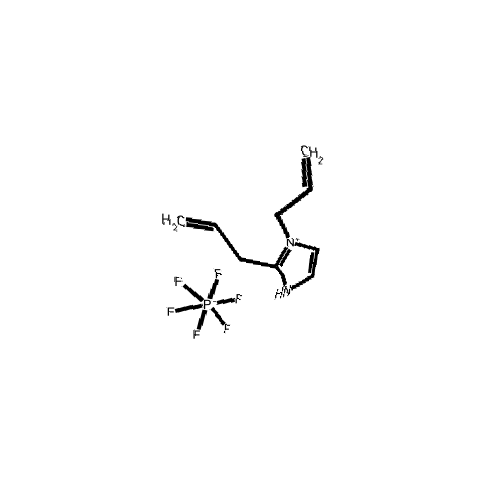 C=CCc1[nH]cc[n+]1CC=C.F[P-](F)(F)(F)(F)F